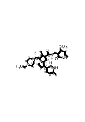 COc1cc(C)[nH]c(=O)c1CNC(=O)c1cc2c(C3=CC=C(C)NN3)ccn2c([C@@H](C)N2CCN(CC(F)(F)F)CC2)c1C